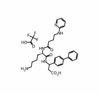 NCCCC[C@@H](NC(=O)CCCNc1ccccn1)C(=O)NC(CC(=O)O)c1ccc(-c2ccccc2)cc1.O=C(O)C(F)(F)F